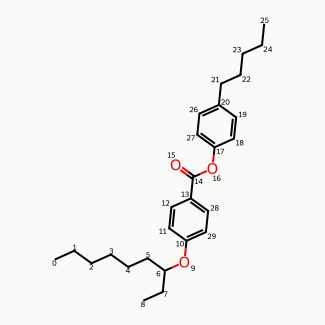 CCCCCCC(CC)Oc1ccc(C(=O)Oc2ccc(CCCCC)cc2)cc1